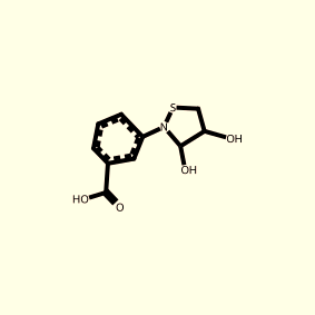 O=C(O)c1cccc(N2SCC(O)C2O)c1